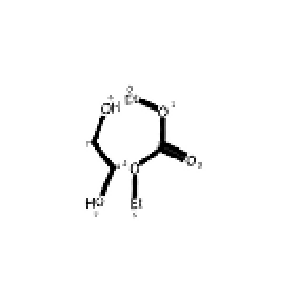 CCOC(=O)OCC.OCCO